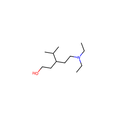 CCN(CC)CCC(CCO)C(C)C